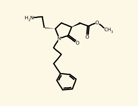 COC(=O)C[C@@H]1C[C@@H](CCN)N(CCCc2ccccc2)C1=O